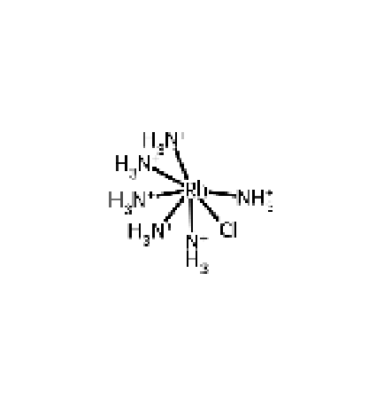 [NH3+][Rh]([NH3+])([NH3+])([NH3+])([NH3+])([NH3+])[Cl]